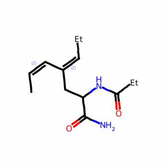 C/C=C\C(=C/CC)CC(NC(=O)CC)C(N)=O